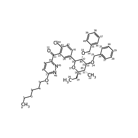 CCCCCCOc1ccc(C(=O)c2cc(C3O[C@H](CC)[C@@H](C)[C@H](OCc4ccccc4)[C@H]3OCc3ccccc3)ccc2Cl)nn1